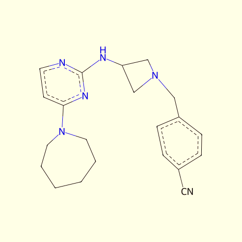 N#Cc1ccc(CN2CC(Nc3nccc(N4CCCCCC4)n3)C2)cc1